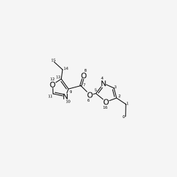 CCc1cnc(OC(=O)c2ncoc2CC)o1